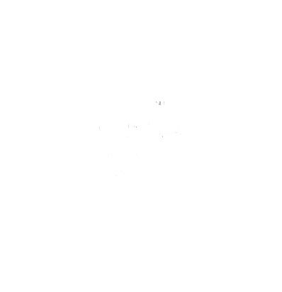 NC(=NCl)Nc1ccc(Cl)cc1I